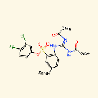 COC(=O)N=C(NC(=O)OC)Nc1ccc(NC(C)=O)cc1S(=O)(=O)Oc1ccc(Cl)c(Cl)c1